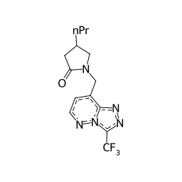 CCCC1CC(=O)N(Cc2ccnn3c(C(F)(F)F)nnc23)C1